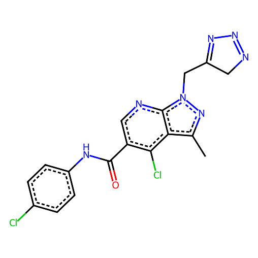 Cc1nn(CC2=NN=NC2)c2ncc(C(=O)Nc3ccc(Cl)cc3)c(Cl)c12